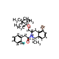 C[C@H]1c2cccc(Br)c2C[C@H](CO[Si](C)(C)C(C)(C)C)N1C(=O)Cc1ccccc1F